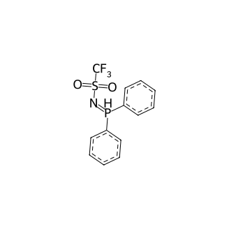 O=S(=O)(N=[PH](c1ccccc1)c1ccccc1)C(F)(F)F